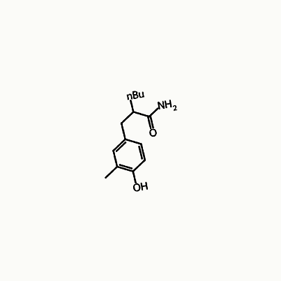 CCCCC(Cc1ccc(O)c(C)c1)C(N)=O